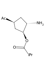 CC(=O)[C@@H]1C[C@H](OC(=O)C(C)C)[C@@H](N)C1